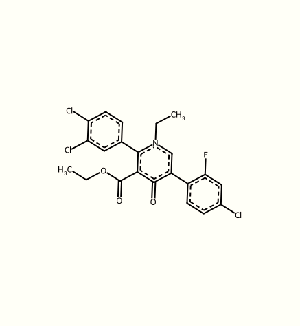 CCOC(=O)c1c(-c2ccc(Cl)c(Cl)c2)n(CC)cc(-c2ccc(Cl)cc2F)c1=O